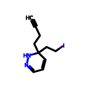 C#CCCC1(CCI)C=CC=NN1